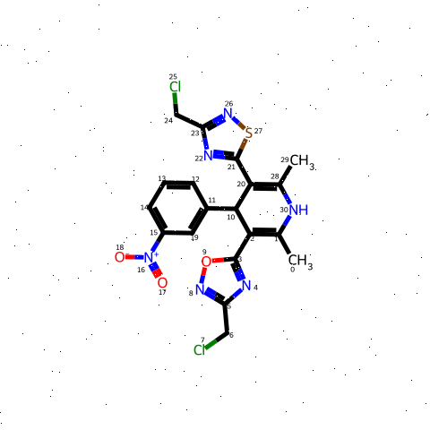 CC1=C(c2nc(CCl)no2)C(c2cccc([N+](=O)[O-])c2)C(c2nc(CCl)ns2)=C(C)N1